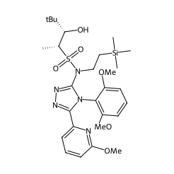 COc1cccc(-c2nnc(N(CC[Si](C)(C)C)S(=O)(=O)[C@H](C)[C@@H](O)C(C)(C)C)n2-c2c(OC)cccc2OC)n1